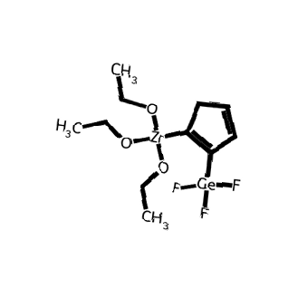 CC[O][Zr]([O]CC)([O]CC)[C]1=[C]([Ge]([F])([F])[F])C=CC1